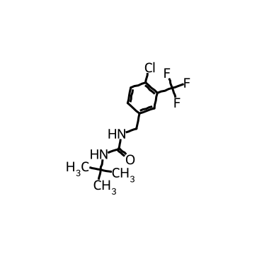 CC(C)(C)NC(=O)NCc1ccc(Cl)c(C(F)(F)F)c1